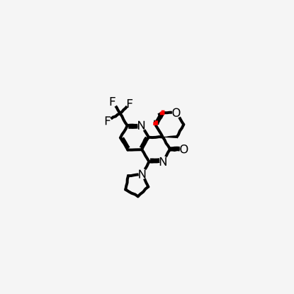 O=C1N=C(N2CCCC2)c2ccc(C(F)(F)F)nc2[C@@]12CCOc1ccccc12